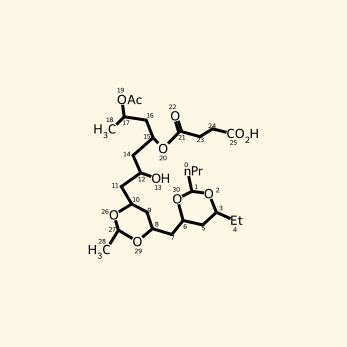 CCCC1OC(CC)CC(CC2CC(CC(O)CC(CC(C)OC(C)=O)OC(=O)CCC(=O)O)OC(C)O2)O1